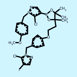 COc1ccc(Cn2ncc(B3OC(C)(C)C(C)(CCOc4ccc(Cn5ncc(I)c5Cl)cc4)O3)c2Cl)cc1